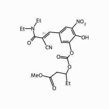 CCC(CC(=O)OC)OC(=O)Oc1cc(/C=C(\C#N)C(=O)N(CC)CC)cc([N+](=O)[O-])c1O